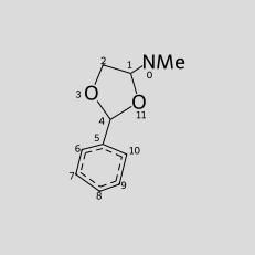 CNC1COC(c2ccccc2)O1